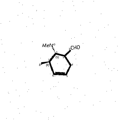 CN[C@@H]1C(C=O)CC=C[C@H]1C